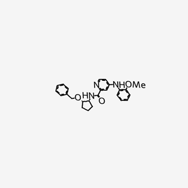 COc1ccccc1Nc1ccnc(C(=O)N[C@H]2CCC[C@@H]2OCc2ccccc2)c1